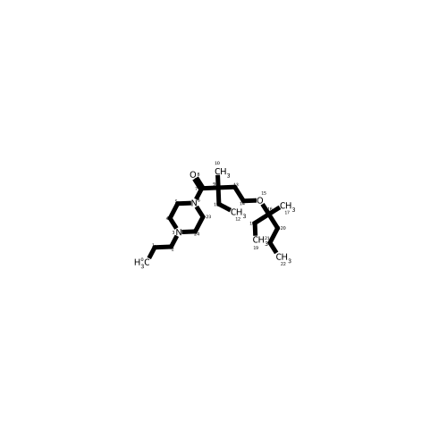 CCCN1CCN(C(=O)C(C)(CC)CCOC(C)(CC)CCC)CC1